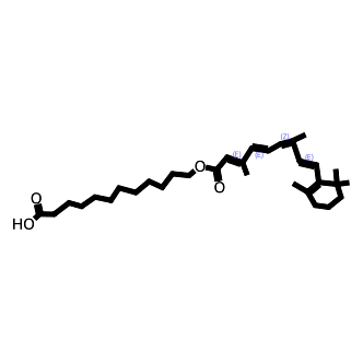 CC1=C(/C=C/C(C)=C\C=C\C(C)=C\C(=O)OCCCCCCCCCCCC(=O)O)C(C)(C)CCC1